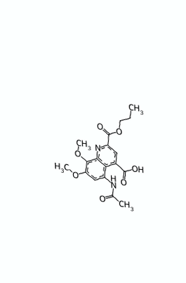 CCCOC(=O)c1cc(C(=O)O)c2c(NC(C)=O)cc(OC)c(OC)c2n1